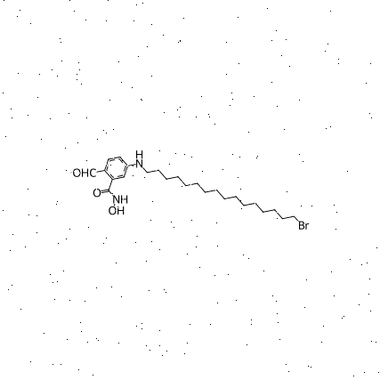 O=[C]c1ccc(NCCCCCCCCCCCCCCCCBr)cc1C(=O)NO